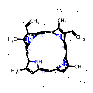 C=CC1=C(C)C2/C=c3\[nH]/c(c(C)c3C=C)=C\C3N/C(=C\c4cc(C)c([nH]4)/C=C/1N2)C=C3C